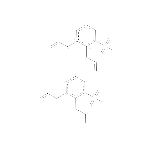 C=CCc1cccc(S(=O)(=O)[O-])c1CC=C.C=CCc1cccc(S(=O)(=O)[O-])c1CC=C.[Ba+2]